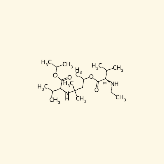 CCN[C@@H](C(=O)OC(C)CC(C)(C)NC(C(=O)OC(C)C)C(C)C)C(C)C